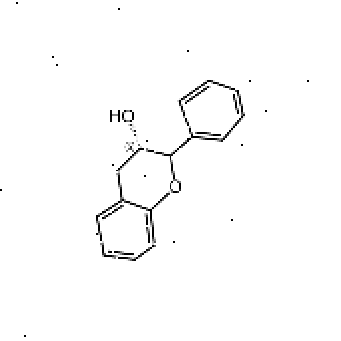 O[C@H]1Cc2ccccc2OC1c1ccccc1